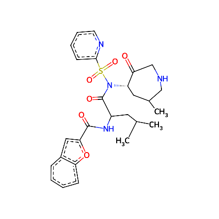 CC(C)CC(NC(=O)c1cc2ccccc2o1)C(=O)N([C@H]1CC(C)CNCC1=O)S(=O)(=O)c1ccccn1